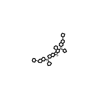 c1ccc(-c2ccc3cc(N(c4ccccc4)c4ccc5cc6c(cc5c4)sc4cc(N(c5ccccc5)c5ccc7cc(-c8ccccc8)ccc7c5)c5ccccc5c46)ccc3c2)cc1